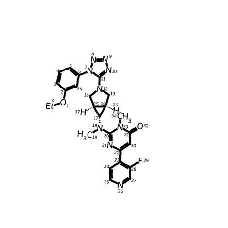 CCOc1cccc(-n2nnnc2N2C[C@@H]3[C@H](C2)[C@H]3N(C)c2nc(-c3ccncc3F)cc(=O)n2C)c1